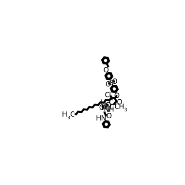 CCCCCCCCCCCC(CCC(Cl)C(Oc1ccc(S(=O)(=O)c2ccc(OCc3ccccc3)cc2)cc1)C(=O)C(C)(C)C)S(=O)(=O)NCC(=O)Nc1ccccc1